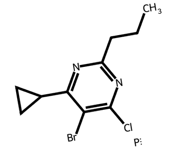 CCCc1nc(Cl)c(Br)c(C2CC2)n1.[P]